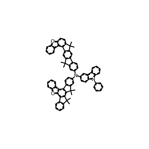 CC1(C)c2cc(N(c3ccc4c(c3)C(C)(C)c3c5c(c6oc7ccccc7c6c3-4)-c3ccccc3C5(C)C)c3ccc4c(c3)c3ccccc3n4-c3ccccc3)ccc2-c2cc3c(cc21)-c1c(ccc2oc4ccccc4c12)C3(C)C